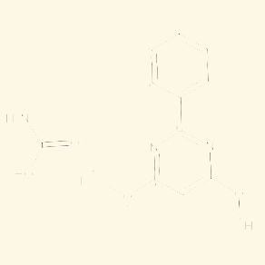 COc1cc(OC)nc(-c2ccccc2)n1.NC(=O)O